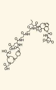 CCC(C)C(NC(=O)CCNC(=O)CCNC(=O)C(CCC(=O)O)NC(=O)CN1CCC(CN2CCN(CC(=O)O)CCN(CC(=O)O)CC2)CC1)C(=O)N[C@H]1CCn2ccc3c2C(=C[C@@H](C(=O)N[C@@H]2CC(=O)O[C@@H]2OC)C3)C1=O